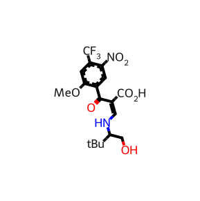 COc1cc(C(F)(F)F)c([N+](=O)[O-])cc1C(=O)/C(=C\NC(CO)C(C)(C)C)C(=O)O